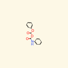 O=C(Nc1ccccc1)OC(=O)Oc1ccccc1